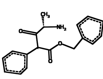 C[C@H](N)C(=O)[C](C(=O)OCc1ccccc1)c1ccccc1